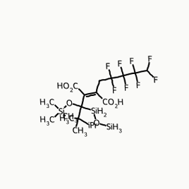 CC(C)C(C)(C)C(O[Si](C)(C)C)([SiH2]O[SiH3])/C(C(=O)O)=C(/CC(F)(F)C(F)(F)C(F)(F)C(F)F)C(=O)O